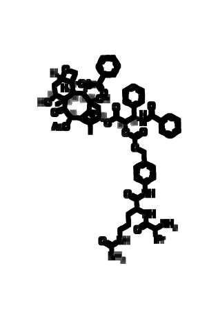 CC(=O)O[C@H]1C(=O)[C@@]2(C)[C@H]([C@H](OC(=O)c3ccccc3)[C@]3(O)C[C@H](OC(=O)[C@H](OC(=O)OCc4ccc(NC(=O)C(CCCNC(N)=O)NC(=O)C(N)C(C)C)cc4)[C@@H](NC(=O)c4ccccc4)c4ccccc4)C(C)=C1C3(C)C)[C@]1(OC(C)=O)CO[C@@H]1C[C@@H]2O